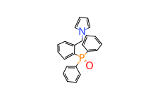 O=P(c1ccccc1)(c1ccccc1)c1ccccc1Cn1cccc1